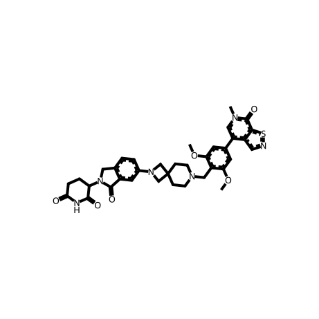 COc1cc(-c2cn(C)c(=O)c3sncc23)cc(OC)c1CN1CCC2(CC1)CN(c1ccc3c(c1)C(=O)N(C1CCC(=O)NC1=O)C3)C2